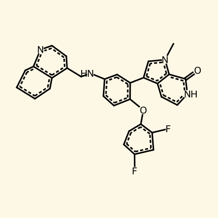 Cn1cc(-c2cc(NCc3ccnc4ccccc34)ccc2Oc2ccc(F)cc2F)c2cc[nH]c(=O)c21